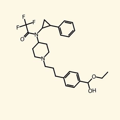 CCOC(O)c1ccc(CCCN2CCC(N(C(=O)C(F)(F)F)C3CC3c3ccccc3)CC2)cc1